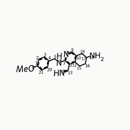 COc1ccc(CNc2ncc3c(c2C=N)CCC(N)C3)cc1